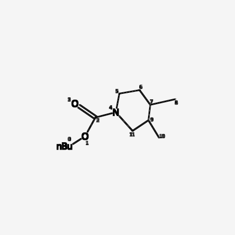 CCCCOC(=O)N1CCC(C)C(C)C1